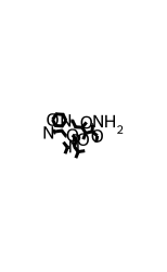 COC1C(N)OC(CCN2CCOCC2)C1OP(OCCC#N)N(C(C)C)C(C)C